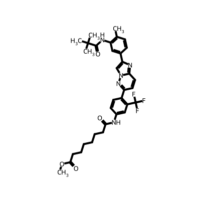 COC(=O)CCCCCCC(=O)Nc1ccc(-c2ccc3nc(-c4ccc(C)c(NC(=O)C(C)(C)C)c4)cn3n2)c(C(F)(F)F)c1